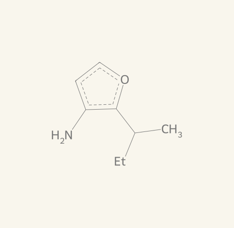 CCC(C)c1occc1N